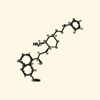 COc1ccc2nccc([C@H](F)CC[C@@H]3CCN(CCSc4cccs4)C[C@@H]3C(=O)O)c2c1